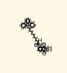 O=C(CCCCCCCCCC[PH](C1CCCCC1)(C1CCCCC1)C1CCCCC1)Nc1cccc2c(=O)[nH][nH]c(=O)c12